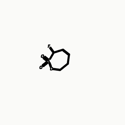 O=S1(=O)OCCCCC1F